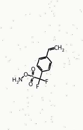 C=Cc1ccc(C(F)(F)S(=O)(=O)ON)cc1